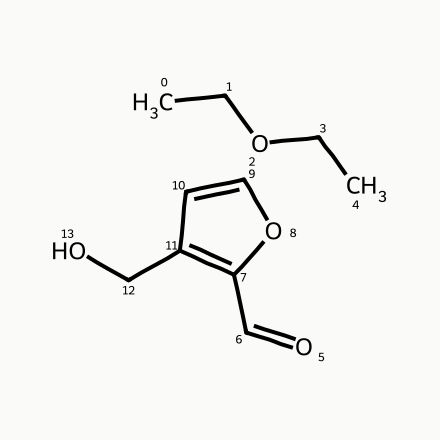 CCOCC.O=Cc1occc1CO